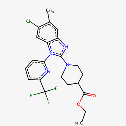 CCOC(=O)C1CCN(c2nc3cc(C)c(Cl)cc3n2-c2cccc(C(F)(F)F)n2)CC1